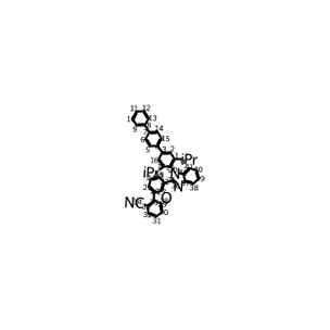 CC(C)c1cc(-c2ccc(-c3ccccc3)cc2)cc(C(C)C)c1-n1c(-c2cccc3c2oc2cccc(C#N)c23)nc2ccccc21